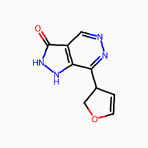 O=c1[nH][nH]c2c(C3C=COC3)nncc12